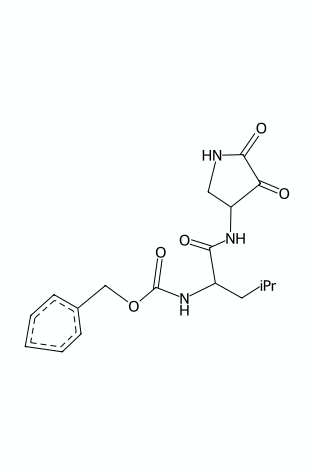 CC(C)CC(NC(=O)OCc1ccccc1)C(=O)NC1CNC(=O)C1=O